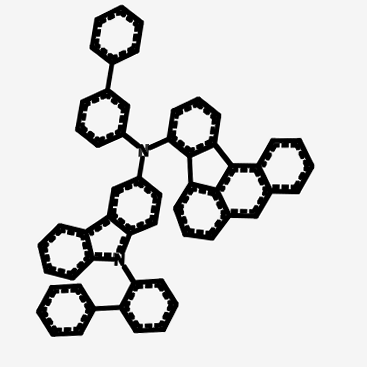 c1ccc(-c2cccc(N(c3ccc4c(c3)c3ccccc3n4-c3ccccc3-c3ccccc3)c3cccc4c3-c3cccc5cc6ccccc6c-4c35)c2)cc1